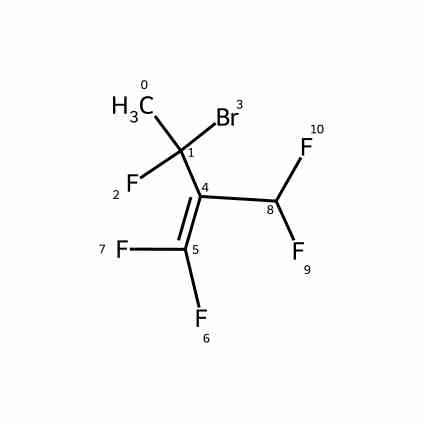 CC(F)(Br)C(=C(F)F)C(F)F